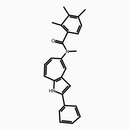 Cc1ccc(C(=O)N(C)C2=Cc3cc(-c4ccccc4)[nH]c3C=C=C2)c(C)c1C